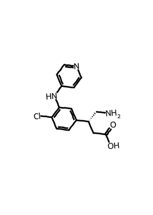 NC[C@H](CC(=O)O)c1ccc(Cl)c(Nc2ccncc2)c1